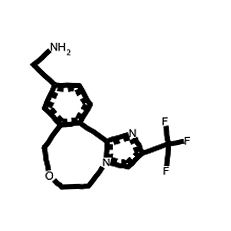 NCc1ccc2c(c1)COCCn1cc(C(F)(F)F)nc1-2